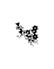 C=C[C@@H]1C[C@]1(NC(=O)[C@@H]1C[C@@H](Oc2nc(-c3ccccc3)cc3ccccc23)CN1C(=O)[C@@H](NC(=O)OC(C)(C)C)C(C)(C)C)C(=O)NS(=O)(=O)C1CC1